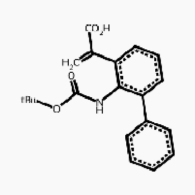 C=C(C(=O)O)c1cccc(-c2ccccc2)c1NC(=O)OC(C)(C)C